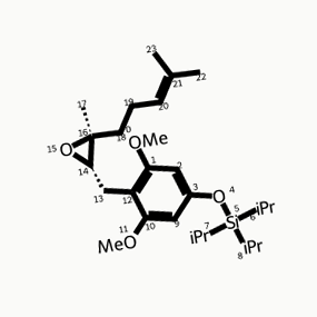 COc1cc(O[Si](C(C)C)(C(C)C)C(C)C)cc(OC)c1C[C@@H]1O[C@@]1(C)CCC=C(C)C